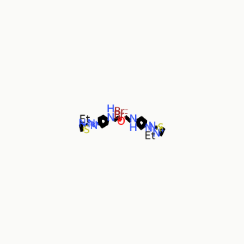 CC[n+]1ccsc1/N=N/c1ccc(NCCOCCNc2ccc(/N=N/c3scc[n+]3CC)cc2)cc1.[Br-].[Br-]